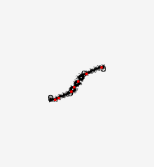 c1cc(-c2ccc(-c3ccc(OCCCCCCCCC4CO4)cc3)cc2)ccc1OCCCCCCCCC1CO1